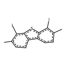 Cc1ccc2c(sc3c(I)c(C)ccc32)c1I